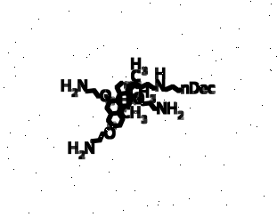 CCCCCCCCCCCCCNCCC[C@@H](C)[C@H]1CCC2C3[C@H](OCCCN)CC4C[C@H](OCCCN)CCC4(C)[C@H]3C[C@H](OCCCN)C21C